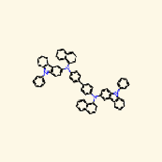 C1=c2ccccc2=C(N(c2ccc(-c3ccc(N(c4ccc5c(c4)c4ccccc4n5-c4ccccc4)c4cccc5ccccc45)cc3)cc2)c2ccc3c(c2)c2ccccc2n3-c2ccccc2)CC1